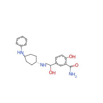 NC(=O)c1cc(C(O)CN[C@H]2CC[C@H](Nc3ccccc3)CC2)ccc1O